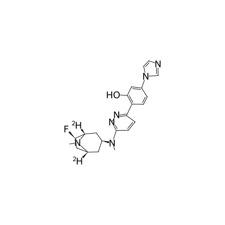 [2H][C@@]12C[C@H](N(C)c3ccc(-c4ccc(-n5ccnc5)cc4O)nn3)C[C@@]([2H])([C@H](F)C1)N2C